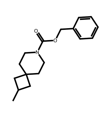 CC1CC2(CCN(C(=O)OCc3ccccc3)CC2)C1